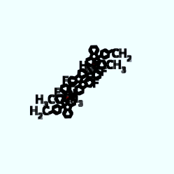 C=Cc1ccc(C2(c3cc(C)ccc3C)c3ccccc3-c3ccc(N(c4ccc5c(c4)C4(C6=C5CCC=C6)c5ccccc5-c5ccc(N(c6ccc7c(c6)C(c6ccc(C=C)cc6)(c6cc(C)ccc6C)c6ccccc6-7)c6c(F)c(F)cc(F)c6F)cc54)c4c(F)c(F)cc(F)c4F)cc32)cc1